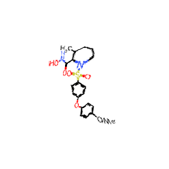 COc1ccc(Oc2ccc(S(=O)(=O)N3CCCC(C)C3C(=O)NO)cc2)cc1